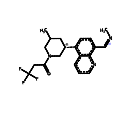 C/N=C\c1ccc([C@H]2CC(C)CN(C(=O)CC(F)(F)F)C2)c2cccnc12